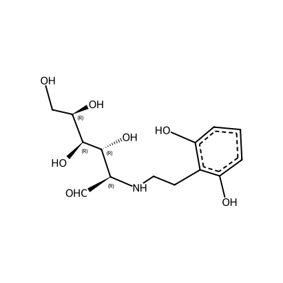 O=C[C@H](NCCc1c(O)cccc1O)[C@@H](O)[C@@H](O)[C@H](O)CO